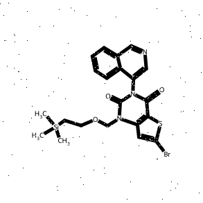 C[Si](C)(C)CCOCn1c(=O)n(-c2cncc3ccccc23)c(=O)c2sc(Br)cc21